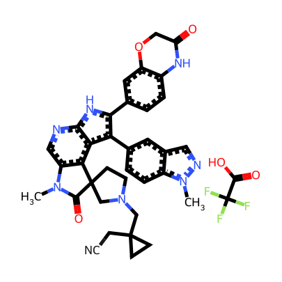 CN1C(=O)C2(CCN(CC3(CC#N)CC3)C2)c2c1cnc1[nH]c(-c3ccc4c(c3)OCC(=O)N4)c(-c3ccc4c(cnn4C)c3)c21.O=C(O)C(F)(F)F